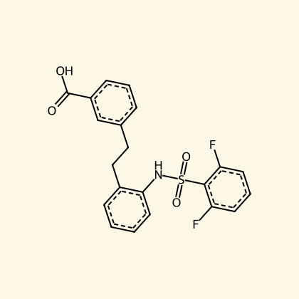 O=C(O)c1cccc(CCc2ccccc2NS(=O)(=O)c2c(F)cccc2F)c1